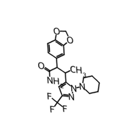 CC(c1cc(C(F)(F)F)nn1N1CCCCC1)C(C(N)=O)c1ccc2c(c1)OCO2